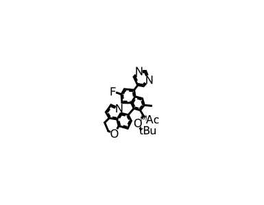 CC(=O)[C@@H](OC(C)(C)C)c1c(C)cc2c(-c3cncnc3)cc(F)cc2c1-c1ccc2c3c(ccnc13)CCO2